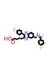 C[C@H](c1ccc(F)cc1)N(C)Cc1ccc2nc(-c3ccc(F)cc3)c(CCCCC(=O)O)nc2c1